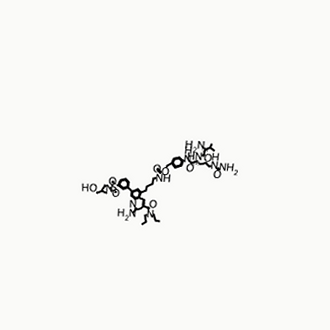 CCCN(CCC)C(=O)C1=Cc2c(CCCCNC(=O)OCc3ccc(NC(=O)[C@H](CCCNC(N)=O)NC(=O)[C@@H](N)C(C)C)cc3)cc(-c3cccc(S(=O)(=O)N4CC(CO)C4)c3)cc2N=C(N)C1